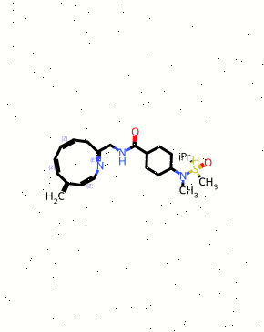 C=C1/C=C\C=C/C/C(CNC(=O)C2CCC(N(C)[SH](C)(=O)C(C)C)CC2)=N\C=C/1